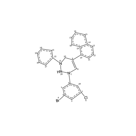 Clc1cc(Br)cc(N2C=C(c3cccc4ccccc34)CN(c3ccccc3)N2)c1